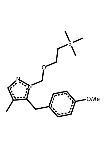 COc1ccc(Cc2c(C)cnn2COCC[Si](C)(C)C)cc1